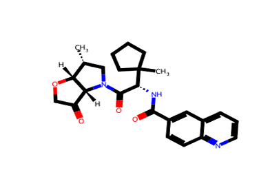 C[C@@H]1CN(C(=O)[C@@H](NC(=O)c2ccc3ncccc3c2)C2(C)CCCC2)[C@@H]2C(=O)CO[C@H]12